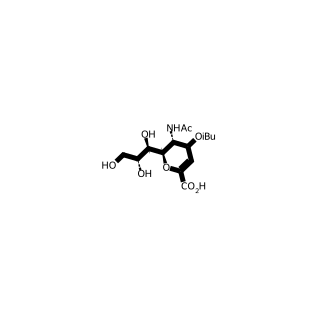 CC(=O)N[C@@H]1C(OCC(C)C)C=C(C(=O)O)O[C@H]1[C@H](O)[C@H](O)CO